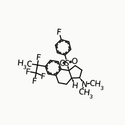 CN(C)[C@@H]1CC[C@@]2(S(=O)(=O)c3ccc(F)cc3)c3ccc(C(C)(F)C(F)(F)F)cc3CC[C@@H]12